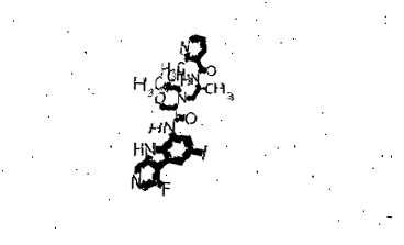 Cc1ncccc1C(=O)N[C@@H](C)CN1CC(C)(C)OC[C@H]1C(=O)Nc1cc(I)cc2c1[nH]c1cncc(F)c12